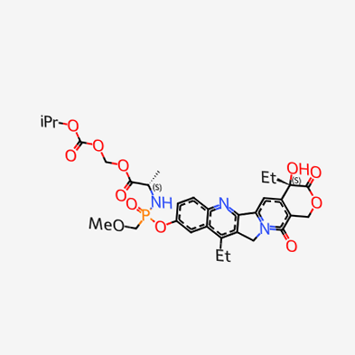 CCc1c2c(nc3ccc(OP(=O)(COC)N[C@@H](C)C(=O)OCOC(=O)OC(C)C)cc13)-c1cc3c(c(=O)n1C2)COC(=O)[C@]3(O)CC